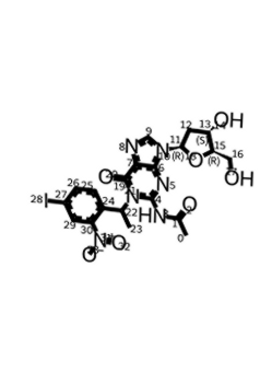 CC(=O)Nc1nc2c(ncn2[C@H]2C[C@H](O)[C@@H](CO)O2)c(=O)n1C(C)c1ccc(I)cc1[N+](=O)[O-]